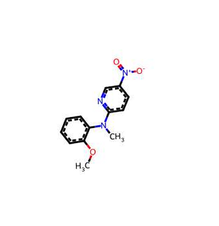 COc1ccccc1N(C)c1ccc([N+](=O)[O-])cn1